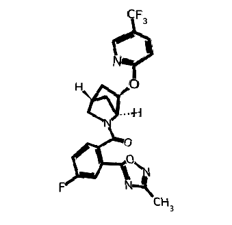 Cc1noc(-c2cc(F)ccc2C(=O)N2C[C@@H]3C[C@@H](Oc4ccc(C(F)(F)F)cn4)[C@@H]2C3)n1